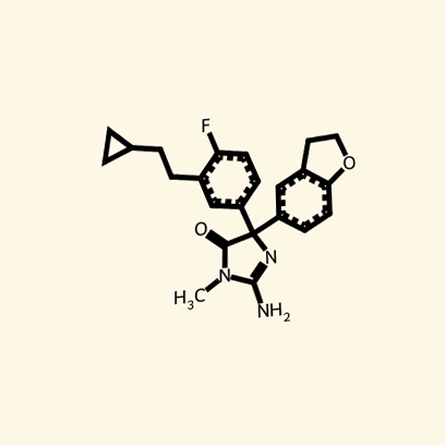 CN1C(=O)C(c2ccc(F)c(CCC3CC3)c2)(c2ccc3c(c2)CCO3)N=C1N